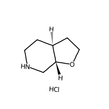 C1C[C@H]2CCO[C@@H]2CN1.Cl